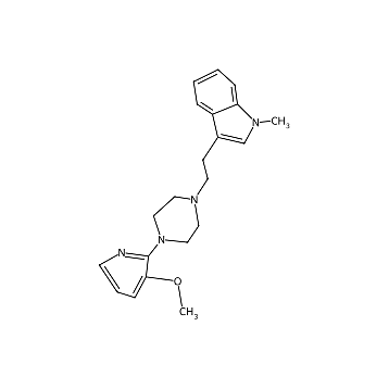 COc1cccnc1N1CCN(CCc2cn(C)c3ccccc23)CC1